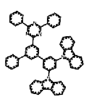 c1ccc(-c2cc(-c3cc(-n4c5ccccc5c5ccccc54)cc(-n4c5ccccc5c5ccccc54)c3)cc(-c3nc(-c4ccccc4)nc(-c4ccccc4)n3)c2)cc1